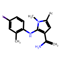 C=C(N)c1cc(C(C)=O)n(C)c1Nc1ccc(I)cc1C